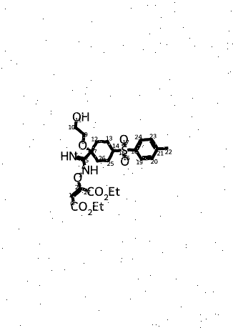 CCOC(=O)/C=C(/ONC(=N)C1(OCCO)CCC(S(=O)(=O)c2ccc(C)cc2)CC1)C(=O)OCC